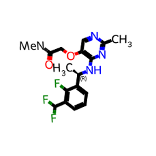 CNC(=O)COc1cnc(C)nc1N[C@H](C)c1cccc(C(F)F)c1F